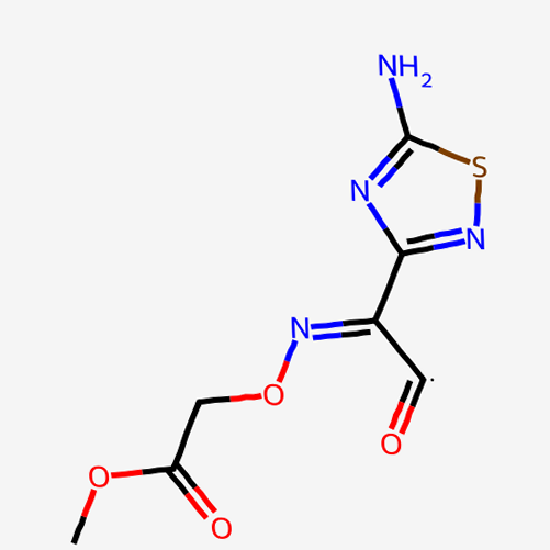 COC(=O)CO/N=C(\[C]=O)c1nsc(N)n1